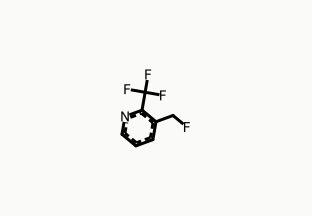 FCc1cccnc1C(F)(F)F